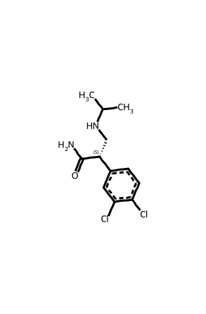 CC(C)NC[C@@H](C(N)=O)c1ccc(Cl)c(Cl)c1